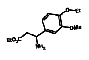 CCOC(=O)CC(N)c1ccc(OCC)c(OC)c1